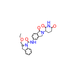 CCOC[C@@H]1Cc2ccccc2N1C(=O)Nc1ccc2c(c1)CN(C1CCC(=O)NC1=O)C2=O